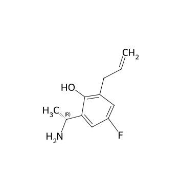 C=CCc1cc(F)cc([C@@H](C)N)c1O